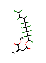 C=C(CC(=O)OC(F)C(F)(F)C(F)(F)C(F)(F)C(F)(F)C(F)C(F)C(F)F)C(=O)OC